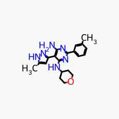 Cc1cccc(-c2nc(N)c(-c3cc(C)[nH]n3)c(NC3CCOCC3)n2)c1